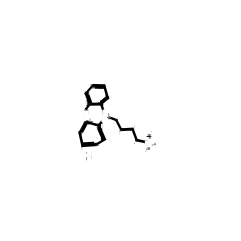 O=S(=O)([O-])CCCCN1c2ccccc2Sc2ccccc21.[Na+]